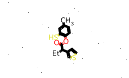 CCC(C(=O)Oc1ccc(C)cc1S)c1ccsc1